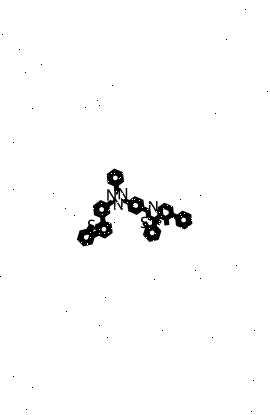 CC1C2=C(C=CC1c1ccccc1)N=C(c1ccc(-c3nc(-c4ccccc4)nc(-c4cccc(-c5cccc6c5sc5ccccc56)c4)n3)cc1)C1Sc3ccccc3C21C